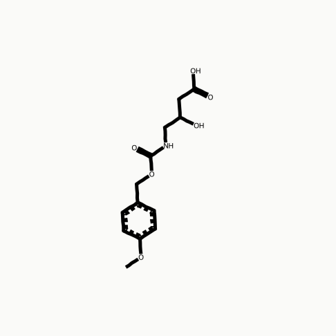 COc1ccc(COC(=O)NCC(O)CC(=O)O)cc1